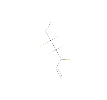 C=CC(F)C(F)(F)C(F)(F)C(C)F